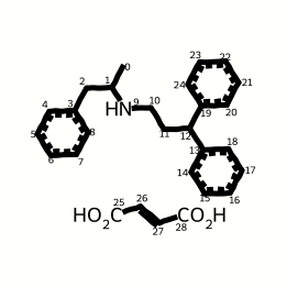 CC(Cc1ccccc1)NCCC(c1ccccc1)c1ccccc1.O=C(O)C=CC(=O)O